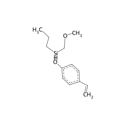 C=Cc1ccc(O[SiH](CCC)COC)cc1